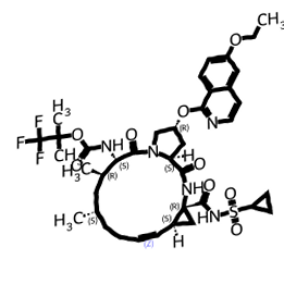 CCOc1ccc2c(O[C@@H]3C[C@H]4C(=O)N[C@]5(C(=O)NS(=O)(=O)C6CC6)C[C@H]5/C=C\CC[C@H](C)C[C@@H](C)[C@H](NC(=O)OC(C)(C)C(F)(F)F)C(=O)N4C3)nccc2c1